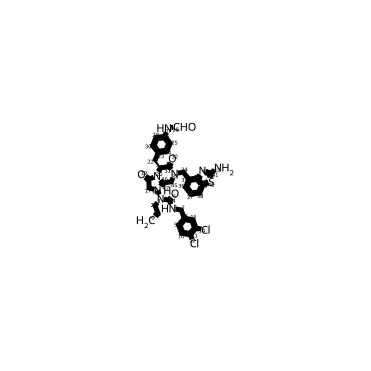 C=CCN(C(=O)NCc1ccc(Cl)c(Cl)c1)N1CC(=O)N2[C@@H](Cc3ccc(NC=O)cc3)C(=O)N(Cc3cccc4sc(N)nc34)C[C@@H]21